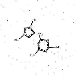 CCCCn1cc[n+](C)c1.Nc1nc(N)nc(N)n1